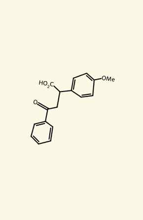 COc1ccc(C(CC(=O)c2ccccc2)C(=O)O)cc1